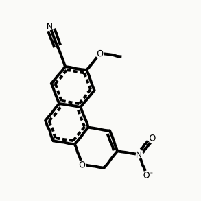 COc1cc2c3c(ccc2cc1C#N)OCC([N+](=O)[O-])=C3